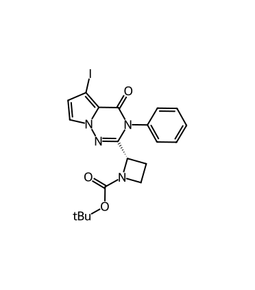 CC(C)(C)OC(=O)N1CC[C@H]1c1nn2ccc(I)c2c(=O)n1-c1ccccc1